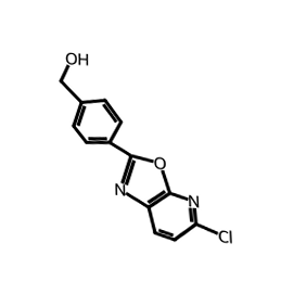 OCc1ccc(-c2nc3ccc(Cl)nc3o2)cc1